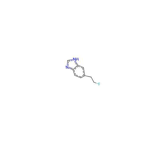 FCCc1ccc2nc[nH]c2c1